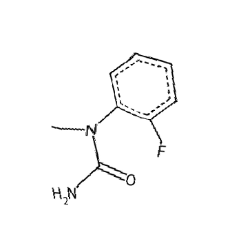 CN(C(N)=O)c1ccccc1F